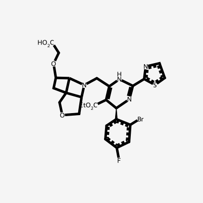 CCOC(=O)C1=C(CN2C3COCC34CC(OCC(=O)O)C24)NC(c2nccs2)=N[C@H]1c1ccc(F)cc1Br